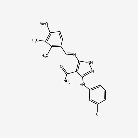 COc1ccc(/C=N/c2[nH]nc(Nc3cccc(Cl)c3)c2C(N)=O)c(C)c1C